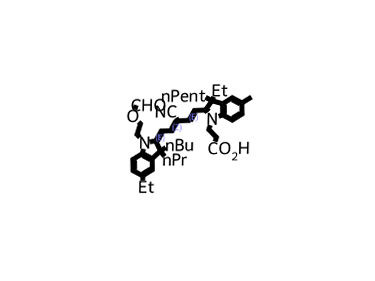 CCCCCC1(CC)C(/C=C/C(C#N)=C/C=C2/N(CCOC=O)c3ccc(CC)cc3C2(CCC)CCCC)=[N+](CCC(=O)O)c2ccc(C)cc21